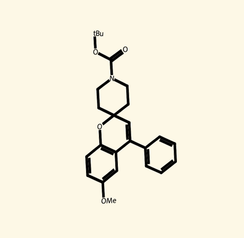 COc1ccc2c(c1)C(c1ccccc1)=CC1(CCN(C(=O)OC(C)(C)C)CC1)O2